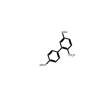 CCCCCCc1ccc(C(=O)O)c(-c2ccc(CCCCC)cc2)c1